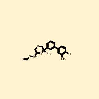 Cc1cc(-c2cccc(C3(C)COCC(NOC=O)=N3)c2)ccc1Cl